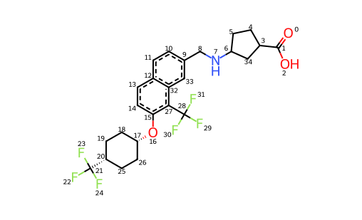 O=C(O)C1CCC(NCc2ccc3ccc(O[C@H]4CC[C@@H](C(F)(F)F)CC4)c(C(F)(F)F)c3c2)C1